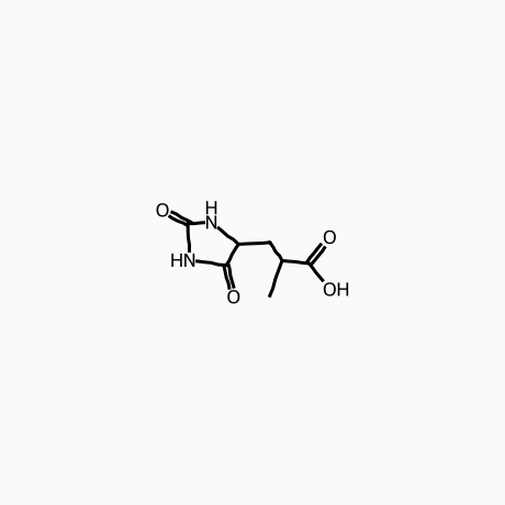 CC(CC1NC(=O)NC1=O)C(=O)O